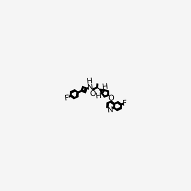 CC(C(=O)NC12CC(c3ccc(F)cc3)(C1)C2)[C@H]1[C@@H]2C[C@@H](Oc3ccnc4ccc(F)cc34)C[C@@H]21